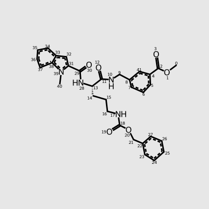 COC(=O)c1cccc(CNC(=O)[C@H](CCCNC(=O)OCc2ccccc2)NC(=O)c2cc3ccccc3n2C)c1